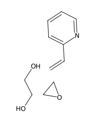 C1CO1.C=Cc1ccccn1.OCCO